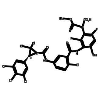 CC(C)(C)OC(=O)N(C(=O)O)c1c(F)cc(C(C)(C)C)c(NC(=O)c2cc(NC(=O)[C@H]3[C@H](c4cc(Cl)c(Cl)c(Cl)c4)C3(Cl)Cl)ccc2Cl)c1F